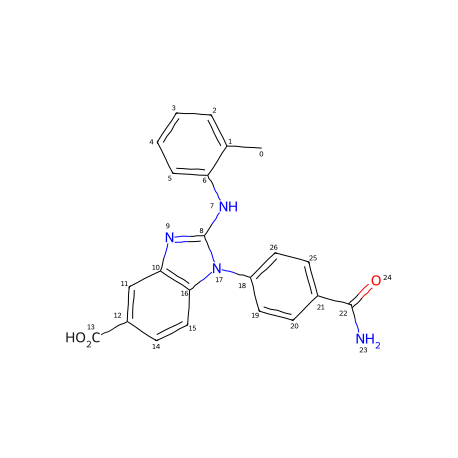 Cc1ccccc1Nc1nc2cc(C(=O)O)ccc2n1-c1ccc(C(N)=O)cc1